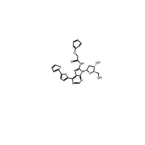 O=C(COc1ccccc1)Nc1nc2c(-c3ccc(-c4cccs4)s3)ncnc2n1[C@H]1C[C@H](O)[C@@H](CO)O1